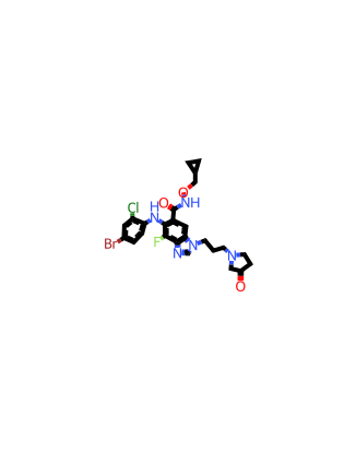 O=C1CCN(CCCn2cnc3c(F)c(Nc4ccc(Br)cc4Cl)c(C(=O)NOCC4CC4)cc32)C1